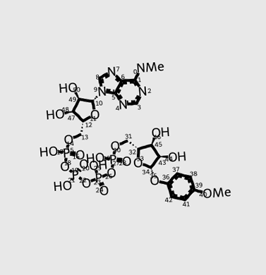 CNc1ncnc2c1ncn2[C@@H]1O[C@H](COP(=O)(O)OP(=O)(O)OP(=O)(O)OP(=O)(O)OC[C@H]2O[C@@H](Oc3ccc(OC)cc3)[C@H](O)[C@@H]2O)[C@@H](O)[C@H]1O